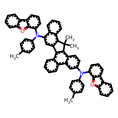 Cc1ccc(N(c2ccc3c4c(c5ccccc5c3c2)-c2cc(N(c3ccc(C)cc3)c3cccc5c3oc3ccccc35)c3ccccc3c2C4(C)C)c2cccc3c2oc2ccccc23)cc1